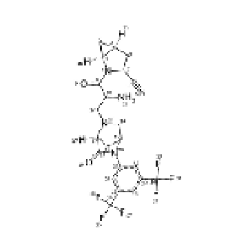 N#CC1C[C@@H]2C[C@@H]2N1C(=O)C(N)CN1CC2C[C@H]1C(=O)N2c1cc(C(F)(F)F)cc(C(F)(F)F)c1